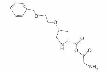 NCC(=O)OC(=O)[C@H]1C[C@@H](OCCOCc2ccccc2)CN1